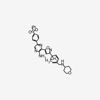 C=C(/C=C\C(=C/C)CNC1CCOCC1)c1cc(-c2nc(-c3ccc(S(=O)(=O)C(C)C)cc3)cnc2N)on1